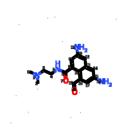 CN(C)CCNC(=O)c1cc(N)cc2cc(N)cc(C=O)c12